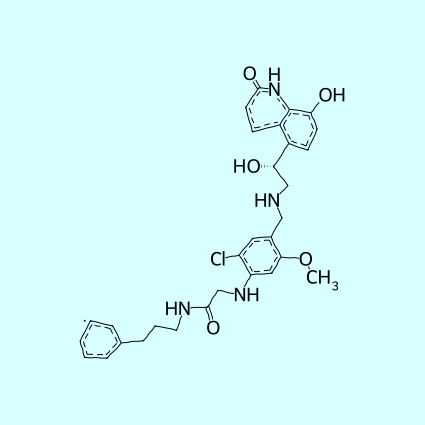 COc1cc(NCC(=O)NCCCc2c[c]ccc2)c(Cl)cc1CNC[C@H](O)c1ccc(O)c2[nH]c(=O)ccc12